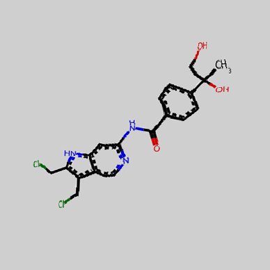 CC(O)(CO)c1ccc(C(=O)Nc2cc3[nH]c(CCl)c(CCl)c3cn2)cc1